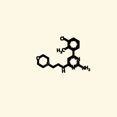 Cc1c(Cl)cccc1-c1cc(NCCN2CCOCC2)nc(N)n1